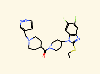 CCSc1nc2cc(F)c(F)cc2n1C1CCN(C(=O)C2CCN(Cc3ccnnc3)CC2)CC1